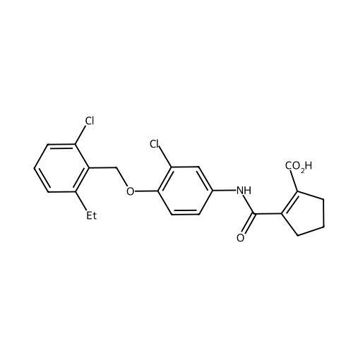 CCc1cccc(Cl)c1COc1ccc(NC(=O)C2=C(C(=O)O)CCC2)cc1Cl